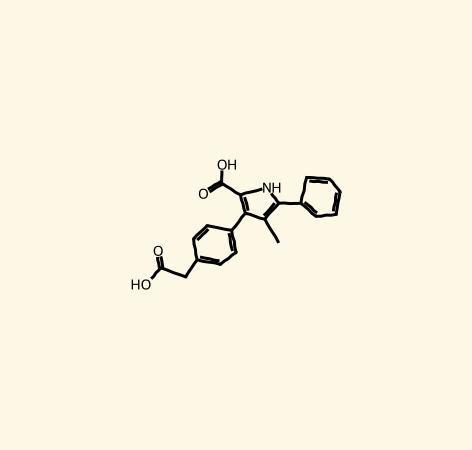 Cc1c(-c2ccccc2)[nH]c(C(=O)O)c1-c1ccc(CC(=O)O)cc1